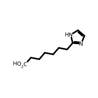 O=C(O)CCCCCCc1ncc[nH]1